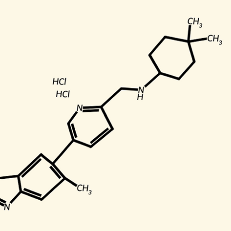 Cc1cc2nc[nH]c2cc1-c1ccc(CNC2CCC(C)(C)CC2)nc1.Cl.Cl